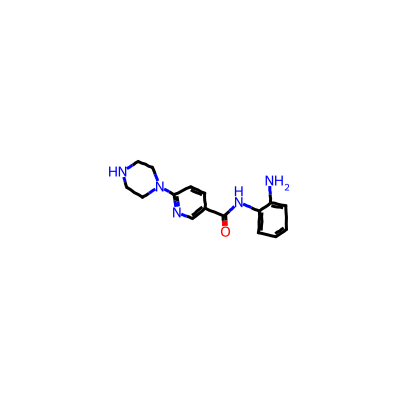 Nc1ccccc1NC(=O)c1ccc(N2CCNCC2)nc1